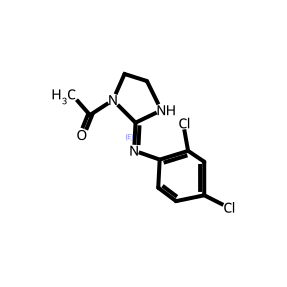 CC(=O)N1CCN/C1=N\c1ccc(Cl)cc1Cl